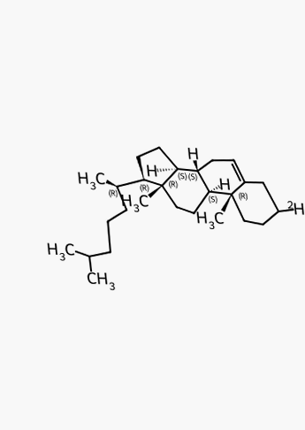 [2H]C1CC[C@@]2(C)C(=CC[C@H]3[C@@H]4CC[C@H]([C@H](C)CCCC(C)C)[C@@]4(C)CC[C@@H]32)C1